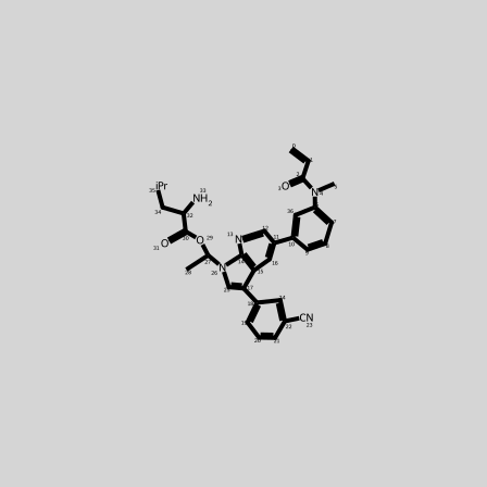 C=CC(=O)N(C)c1cccc(-c2cnc3c(c2)c(-c2cccc(C#N)c2)cn3C(C)OC(=O)C(N)CC(C)C)c1